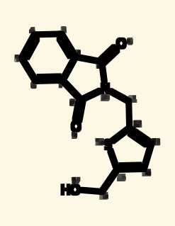 O=C1c2ccccc2C(=O)N1Cc1ccc(CO)s1